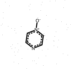 [O-][n+]1[c]cncc1